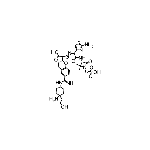 CC1(C)[C@H](NC(=O)/C(=N\O[C@](C)(C(=O)O)[C@H]2CCc3cc(C(=N)N[C@H]4CC[C@@](N)(CCO)CC4)ccc3O2)c2csc(N)n2)C(=O)N1OS(=O)(=O)O